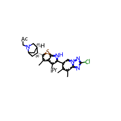 CC(=O)CN1C[C@@H]2CC1C[C@H]2c1sc2[nH]c(-c3cn4nc(Cl)nc4c(C)c3C)c(C(C)C)c2c1C